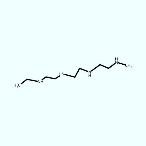 CCNCCNCCNCCNC